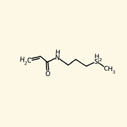 C=CC(=O)NCCC[SiH2]C